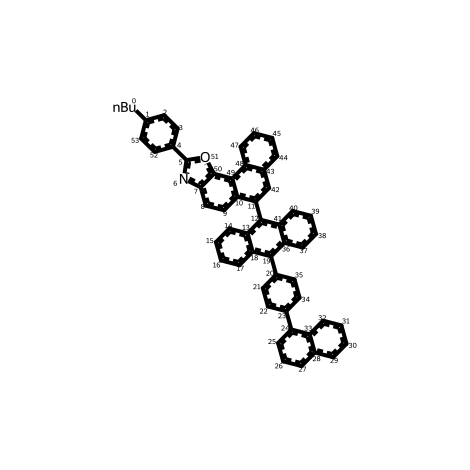 CCCCc1ccc(-c2nc3ccc4c(-c5c6ccccc6c(-c6ccc(-c7cccc8ccccc78)cc6)c6ccccc56)cc5ccccc5c4c3o2)cc1